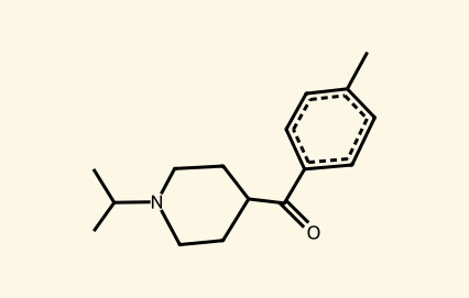 Cc1ccc(C(=O)C2CCN(C(C)C)CC2)cc1